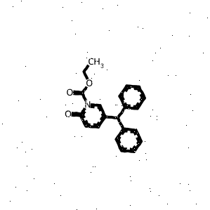 CCOC(=O)n1cc(C(c2ccccc2)c2ccccc2)ccc1=O